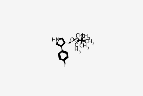 CC(C)(C)[Si](C)(C)OC[C@H]1CNC[C@@H]1c1ccc(F)cc1